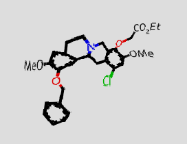 CCOC(=O)COc1c(OC)cc(Cl)c2c1CN1CCc3cc(OC)c(OCc4ccccc4)cc3C1C2